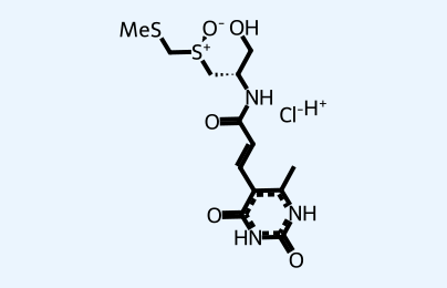 CSC[S@+]([O-])C[C@H](CO)NC(=O)/C=C/c1c(C)[nH]c(=O)[nH]c1=O.[Cl-].[H+]